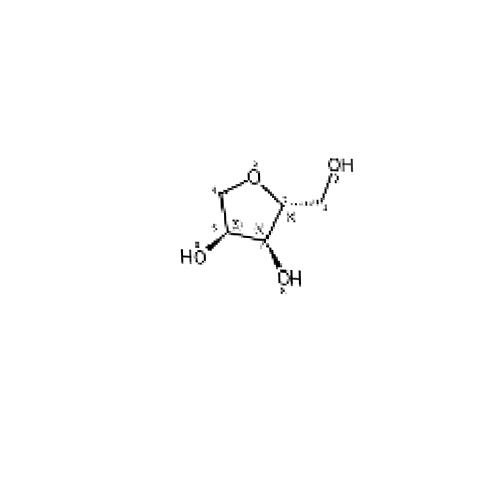 OC[C@H]1O[CH][C@H](O)[C@@H]1O